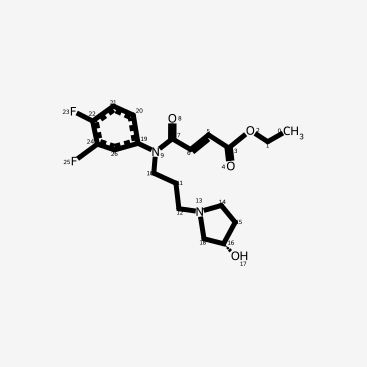 CCOC(=O)/C=C/C(=O)N(CCCN1CC[C@H](O)C1)c1ccc(F)c(F)c1